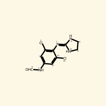 O=CNc1cc(Cl)c(N=C2NCCN2)c(Cl)c1